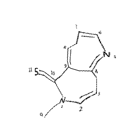 Cn1ccc2ncccc2c1=S